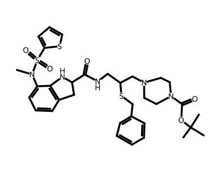 CN(c1cccc2c1NC(C(=O)NCC(CN1CCN(C(=O)OC(C)(C)C)CC1)SCc1ccccc1)C2)S(=O)(=O)c1cccs1